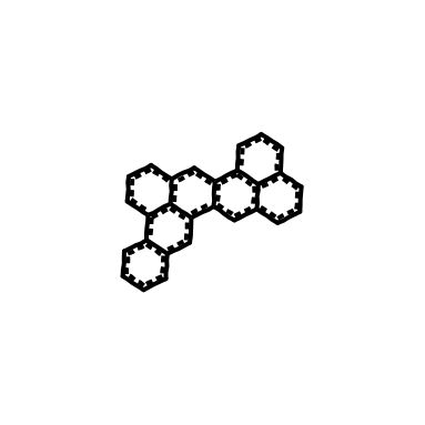 c1ccc2c(c1)cc1c3cc4cccc5cccc(c3cc3cccc2c31)c54